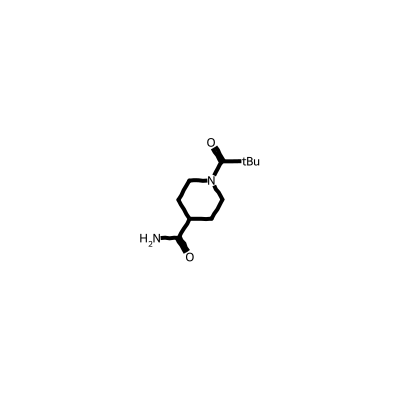 CC(C)(C)C(=O)N1CCC(C(N)=O)CC1